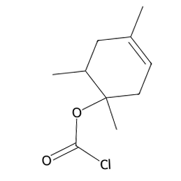 CC1=CCC(C)(OC(=O)Cl)C(C)C1